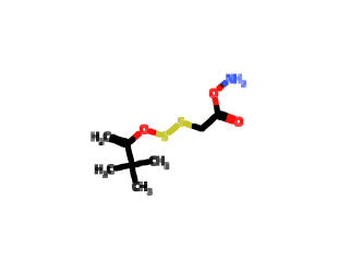 C=C(OSSCC(=O)ON)C(C)(C)C